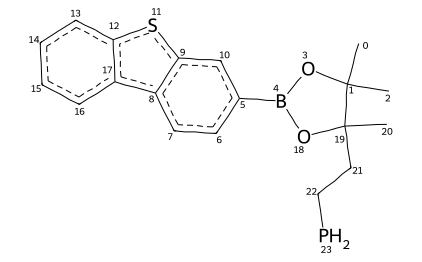 CC1(C)OB(c2ccc3c(c2)sc2ccccc23)OC1(C)CCP